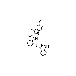 Cc1c(C(=O)Nc2ccccc2C=Cc2n[nH]c3ccccc23)sc2ccc(Cl)cc12